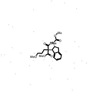 COCCCC(C(=O)OC)(C(=O)OC)[C@@H]1c2ccccc2C[C@H]1NC(=O)OC(C)(C)C